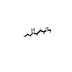 CCCNCCCSC